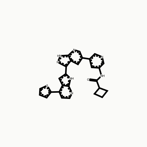 O=C(Nc1cncc(-c2cnc3[nH]nc(-c4cc5c(-c6cccs6)ccnc5[nH]4)c3c2)c1)C1CCC1